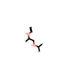 C=COC(C)COC(C)C